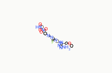 Nc1ncnc2c1c(-c1ccc(Oc3ccccc3)cc1)nn2C1CCN([C@@H]2CCN(C3CN(c4ccc5c(c4)C(=O)N(C4CCC(=O)NC4=O)C5=O)C3)C[C@@H]2F)CC1